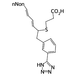 CCCCCCCCC/C=C/C=C/C(Cc1cccc(-c2nnn[nH]2)c1)SCCC(=O)O